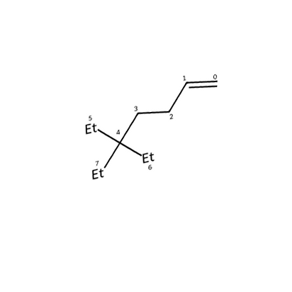 C=CCCC(CC)(CC)CC